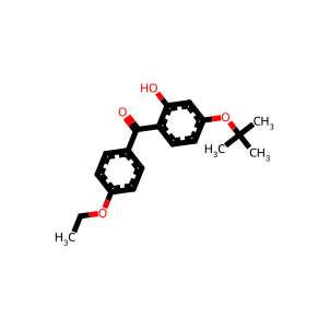 CCOc1ccc(C(=O)c2ccc(OC(C)(C)C)cc2O)cc1